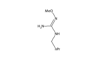 CCCCN/C(N)=N/OC